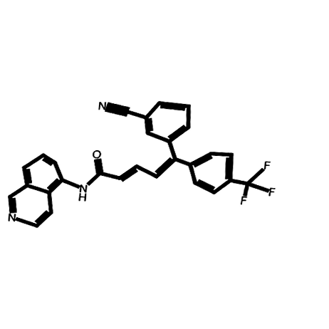 N#Cc1cccc(C(=CC=CC(=O)Nc2cccc3cnccc23)c2ccc(C(F)(F)F)cc2)c1